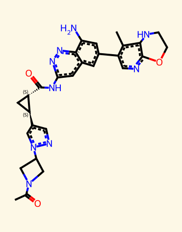 CC(=O)N1CC(n2cc([C@H]3C[C@@H]3C(=O)Nc3cc4cc(-c5cnc6c(c5C)NCCO6)cc(N)c4nn3)cn2)C1